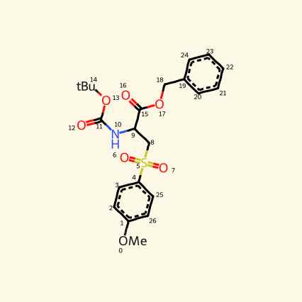 COc1ccc(S(=O)(=O)CC(NC(=O)OC(C)(C)C)C(=O)OCc2ccccc2)cc1